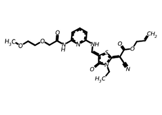 C=CCOC(=O)C(C#N)=c1sc(=CNc2cccc(NC(=O)COCCOC)n2)c(=O)n1CC